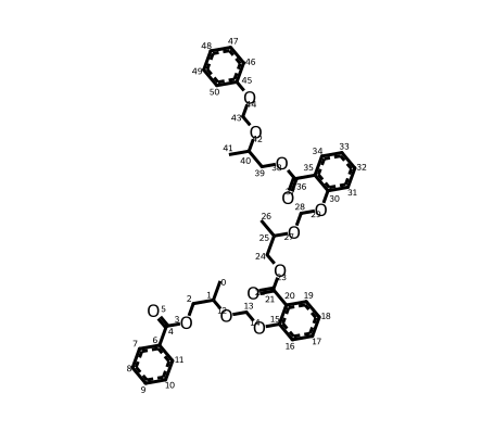 CC(COC(=O)c1ccccc1)OCOc1ccccc1C(=O)OCC(C)OCOc1ccccc1C(=O)OCC(C)OCOc1ccccc1